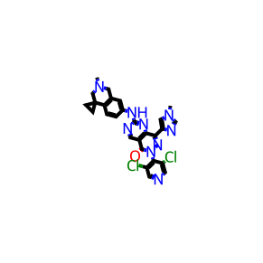 CN1Cc2cc(Nc3ncc4c(=O)n(-c5c(Cl)cncc5Cl)nc(-c5cn(C)cn5)c4n3)ccc2C2(CC2)C1